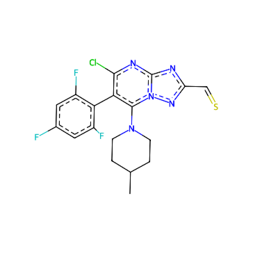 CC1CCN(c2c(-c3c(F)cc(F)cc3F)c(Cl)nc3nc(C=S)nn23)CC1